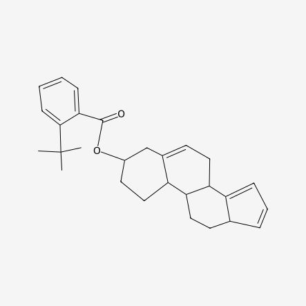 CC(C)(C)c1ccccc1C(=O)OC1CCC2C(=CCC3C4=CC=CC4CCC23)C1